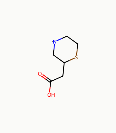 O=C(O)CC1C[N]CCS1